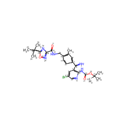 Cc1cc(C(=N)c2cc(Br)cnc2NC(=O)OC(C)(C)C)ccc1CNC(=O)c1noc(C(C)(C)C)n1